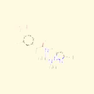 CCCN(CCC)n1nc(C(F)(F)F)cc1CNC(=O)C(C)c1ccc(CO)c(F)c1